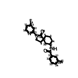 O=C(NC1CCCC2(CCN(c3cc(F)ccn3)C2=O)C1)c1cccc(F)c1